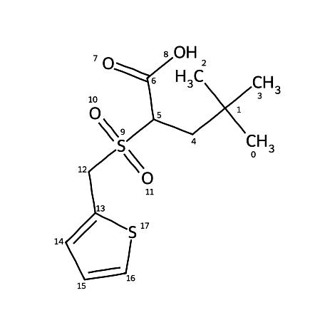 CC(C)(C)CC(C(=O)O)S(=O)(=O)Cc1cccs1